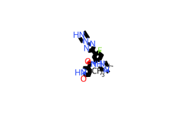 C[C@@H]1CN(c2cc(F)c(-c3cnc(N4CCNCC4)nc3)cc2NC(=O)c2c[nH]c(=O)cc2C(F)(F)F)C[C@H](C)N1C